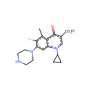 CCOC(=O)c1cn(C2CC2)c2cc(N3CCNCC3)c(F)c(C)c2c1=O